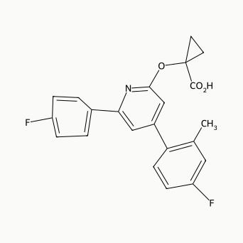 Cc1cc(F)ccc1-c1cc(OC2(C(=O)O)CC2)nc(-c2ccc(F)cc2)c1